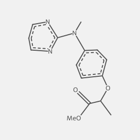 COC(=O)C(C)Oc1ccc(N(C)c2ncccn2)cc1